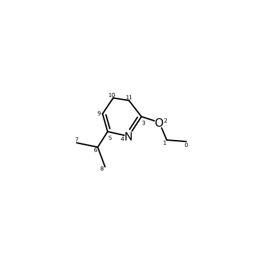 CCOC1=NC(C(C)C)=CCC1